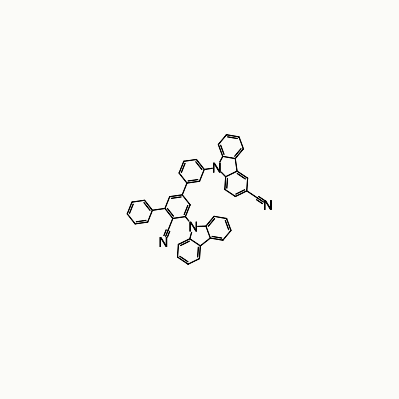 N#Cc1ccc2c(c1)c1ccccc1n2-c1cccc(-c2cc(-c3ccccc3)c(C#N)c(-n3c4ccccc4c4ccccc43)c2)c1